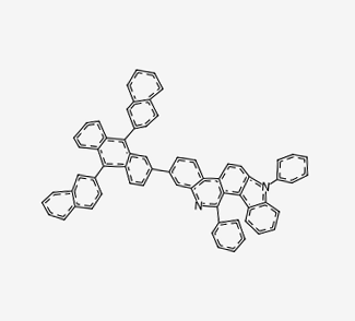 c1ccc(-c2nc3cc(-c4ccc5c(-c6ccc7ccccc7c6)c6ccccc6c(-c6ccc7ccccc7c6)c5c4)ccc3c3ccc4c(c5ccccc5n4-c4ccccc4)c23)cc1